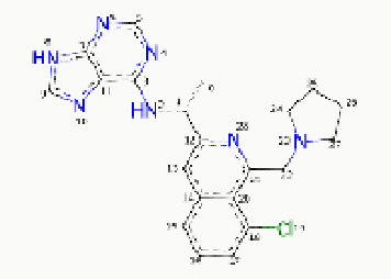 C[C@@H](Nc1ncnc2[nH]cnc12)c1cc2cccc(Cl)c2c(CN2CCCC2)n1